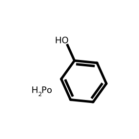 Oc1ccccc1.[PoH2]